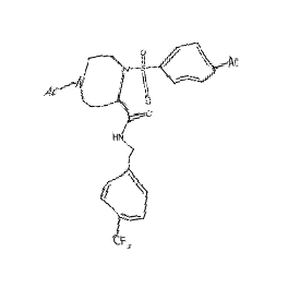 CC(=O)c1ccc(S(=O)(=O)N2CCN(C(C)=O)CC2C(=O)NCc2ccc(C(F)(F)F)cc2)cc1